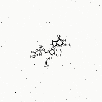 C#CCO[C@H]1[C@@H](O)[C@](C)(n2cnc3c(=O)[nH]c(N)nc32)O[C@@H]1COP(=O)(O)OP(=O)(O)O